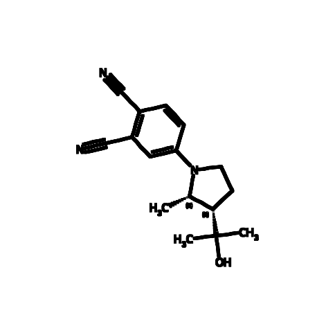 C[C@H]1[C@@H](C(C)(C)O)CCN1c1ccc(C#N)c(C#N)c1